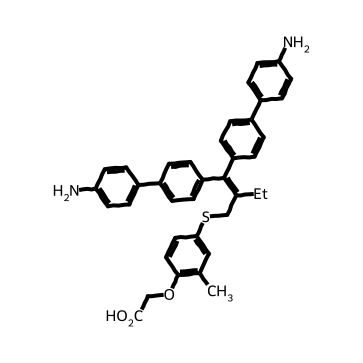 CCC(CSc1ccc(OCC(=O)O)c(C)c1)=C(c1ccc(-c2ccc(N)cc2)cc1)c1ccc(-c2ccc(N)cc2)cc1